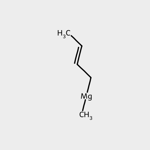 CC=C[CH2][Mg][CH3]